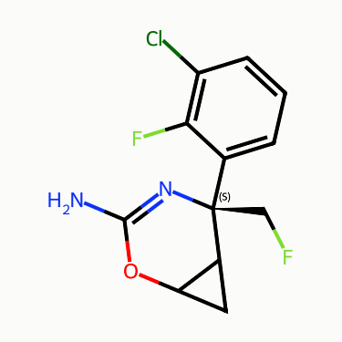 NC1=N[C@](CF)(c2cccc(Cl)c2F)C2CC2O1